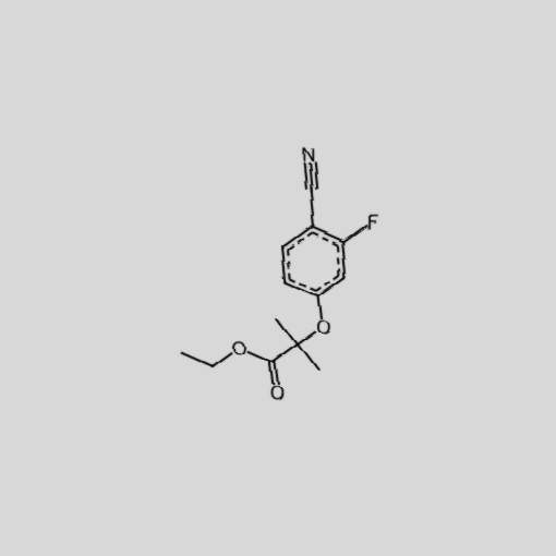 CCOC(=O)C(C)(C)Oc1ccc(C#N)c(F)c1